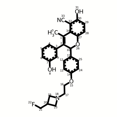 CC1=C(c2cccc(O)c2)C(c2ccc(OCCN3CC(CF)C3)cc2)Oc2ccc(O)c(C#N)c21